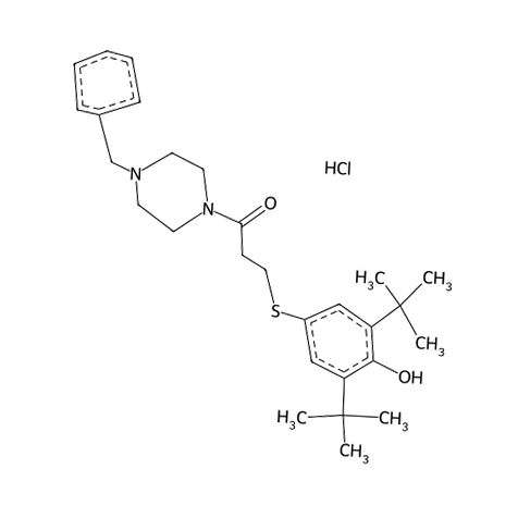 CC(C)(C)c1cc(SCCC(=O)N2CCN(Cc3ccccc3)CC2)cc(C(C)(C)C)c1O.Cl